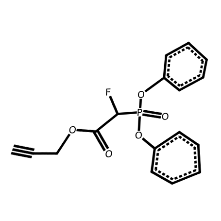 C#CCOC(=O)C(F)P(=O)(Oc1ccccc1)Oc1ccccc1